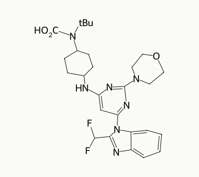 CC(C)(C)N(C(=O)O)C1CCC(Nc2cc(-n3c(C(F)F)nc4ccccc43)nc(N3CCOCC3)n2)CC1